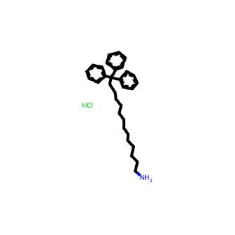 Cl.NCCCCCCCCCCCCCC(c1ccccc1)(c1ccccc1)c1ccccc1